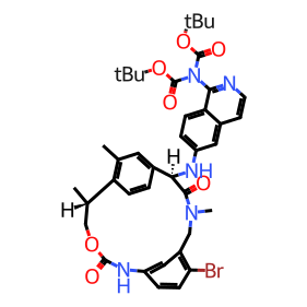 Cc1cc2ccc1[C@@H](C)COC(=O)Nc1ccc(Br)c(c1)CN(C)C(=O)[C@@H]2Nc1ccc2c(N(C(=O)OC(C)(C)C)C(=O)OC(C)(C)C)nccc2c1